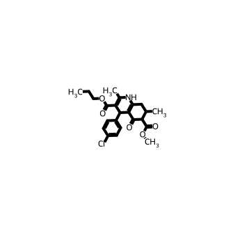 CCCOC(=O)C1=C(C)NC2=C(C(=O)C(C(=O)OC)C(C)C2)C1c1ccc(Cl)cc1